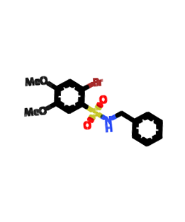 COc1cc(Br)c(S(=O)(=O)NCc2ccccc2)cc1OC